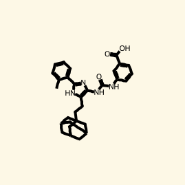 Cc1ccccc1-c1nc(NC(=O)Nc2cccc(C(=O)O)c2)c(CCC23CC4CC(CC(C4)C2)C3)[nH]1